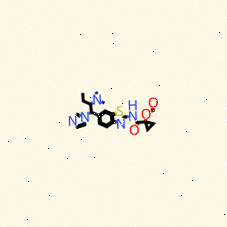 CCC(C(c1ccc2nc(NC(=O)C3(OC=O)CC3)sc2c1)n1ccnc1)N(C)C